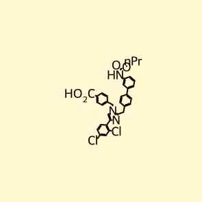 CCCOC(=O)Nc1cccc(-c2ccc(Cc3nc(-c4ccc(Cl)cc4Cl)cn3Cc3ccc(C(=O)O)cc3)cc2)c1